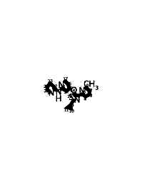 Cc1cccc(-c2nc(C3CC3)sc2Oc2ccnc(Nc3ccccn3)c2)n1